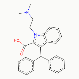 CN(C)CCn1c(C(=O)O)c(C(c2ccccc2)c2ccccc2)c2ccccc21